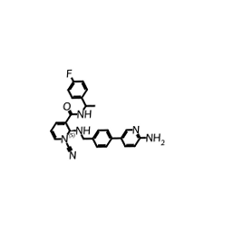 CC(NC(=O)C1=CC=CN(C#N)[C@@H]1NCc1ccc(-c2ccc(N)nc2)cc1)c1ccc(F)cc1